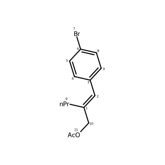 CCC/C(=C\c1ccc(Br)cc1)COC(C)=O